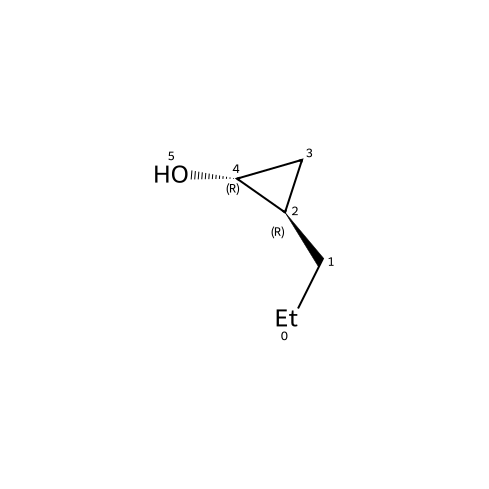 CCC[C@@H]1C[C@H]1O